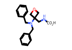 O=C(O)NCC1(N(Cc2ccccc2)Cc2ccccc2)COC1